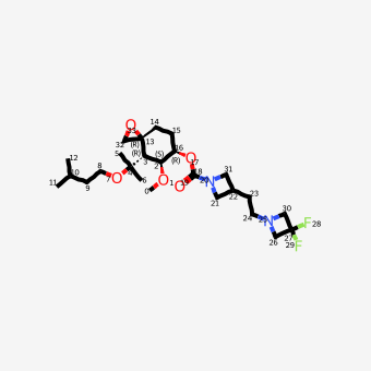 CO[C@H]1[C@H](C(C)(C)OCCC(C)C)[C@]2(CC[C@H]1OC(=O)N1CC(CCN3CC(F)(F)C3)C1)CO2